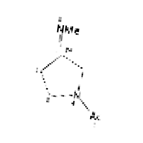 CN[C@H]1CCN(C(C)=O)C1